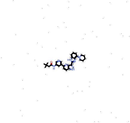 CC(C)(C)CC(=O)Nc1cncc(-c2ccc3[nH]nc(-c4nc5c(N6CCCCC6)cccc5[nH]4)c3n2)c1